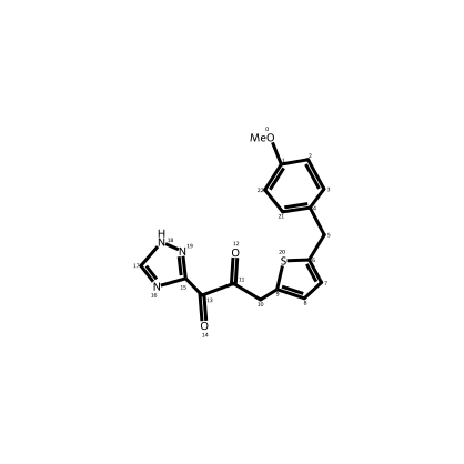 COc1ccc(Cc2ccc(CC(=O)C(=O)c3nc[nH]n3)s2)cc1